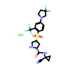 Cl.N#CC1(NC(=O)[C@@H]2C[C@@H](S(=O)(=O)c3ccc(N4CCC(F)(F)C4)cc3C(F)(F)F)CN2)CC1